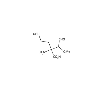 COC(C=O)C(N)(CCC=O)C(=O)O